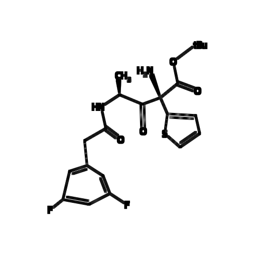 C[C@H](NC(=O)Cc1cc(F)cc(F)c1)C(=O)[C@](N)(C(=O)OC(C)(C)C)c1cccs1